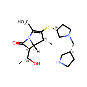 C[C@@H](O)[C@H]1C(=O)N2C(C(=O)O)=C(S[C@@H]3CCN(C[C@@H]4CCNC4)C3)[C@H](C)[C@H]12